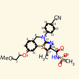 COCCOc1ccc(CN(c2ccc(C#N)cc2)c2nc(C(=O)NS(C)(=O)=O)c(C)s2)cc1